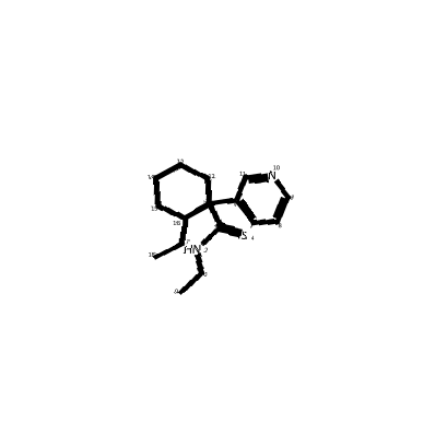 CCNC(=S)C1(c2cccnc2)CCCCC1CC